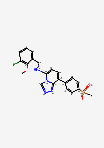 COc1c(F)cccc1CNc1ccc(-c2ccc(S(C)(=O)=O)cc2)c2nncn12